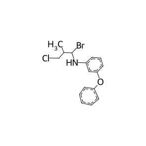 CC(CCl)C(Br)Nc1cccc(Oc2ccccc2)c1